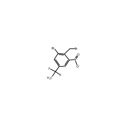 CC(F)(F)c1cc(Br)c(CBr)c([N+](=O)[O-])c1